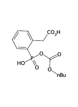 CCCCOC(=O)OP(=O)(O)c1ccccc1CC(=O)O